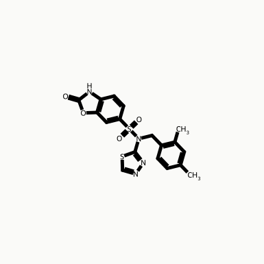 Cc1ccc(CN(c2nncs2)S(=O)(=O)c2ccc3[nH]c(=O)oc3c2)c(C)c1